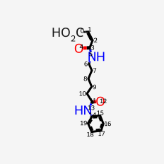 O=C(O)/C=C\C(=O)NCCCCCC(=O)Nc1ccccc1